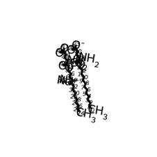 CCCCCCCCCCCCCCOC(=O)C(N)CCC(=O)[O-].CCCCCCCCCCCCCCOC(=O)C(N)CCC(=O)[O-].[Na+].[Na+]